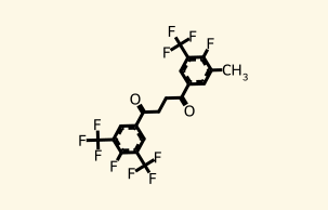 Cc1cc(C(=O)CCC(=O)c2cc(C(F)(F)F)c(F)c(C(F)(F)F)c2)cc(C(F)(F)F)c1F